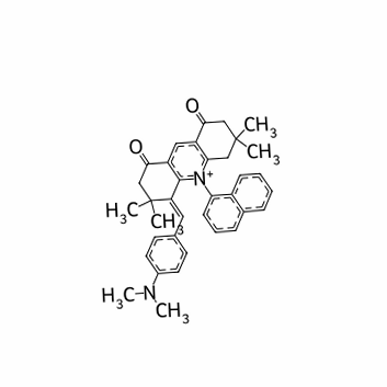 CN(C)c1ccc(C=C2c3c(cc4c([n+]3-c3cccc5ccccc35)CC(C)(C)CC4=O)C(=O)CC2(C)C)cc1